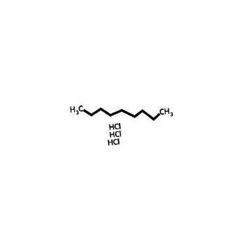 CCCCCCCCC.Cl.Cl.Cl